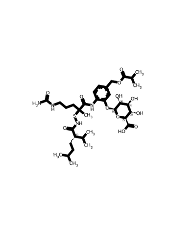 CC(C)CC[C@H](C(=O)NSC(C)(CCCNC(N)=O)C(=O)Nc1ccc(COC(=O)C(C)C)cc1O[C@@H]1O[C@H](C(=O)O)[C@@H](O)[C@H](O)[C@H]1O)C(C)C